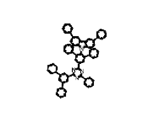 C1=CCC(c2cc(-c3ccccc3)cc(-c3nc(-c4ccccc4)nc(-c4cc(-c5ccccc5)c(-n5c6ccc(-c7ccccc7)cc6c6cc(-c7ccccc7)ccc65)c(-c5ccccc5)c4)n3)c2)C=C1